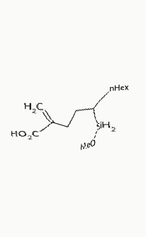 C=C(CCC(CCCCCC)[SiH2]OC)C(=O)O